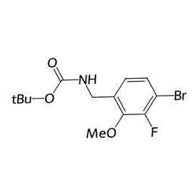 COc1c(CNC(=O)OC(C)(C)C)ccc(Br)c1F